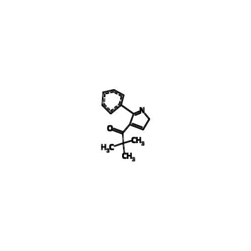 CC(C)(C)C(=O)C1=CCN=C1c1ccccc1